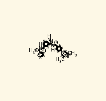 CC1CN(c2ccc(C(=O)Nc3n[nH]c4ccc(C(=O)NC(C)c5cccs5)cc34)cc2)CC(C)N1